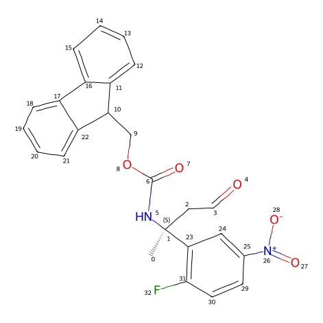 C[C@@](CC=O)(NC(=O)OCC1c2ccccc2-c2ccccc21)c1cc([N+](=O)[O-])ccc1F